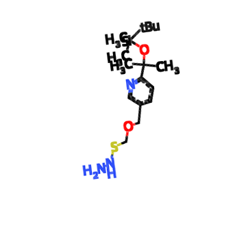 CC(C)(O[Si](C)(C)C(C)(C)C)c1ccc(COCSNN)cn1